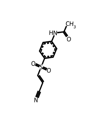 CC(=O)Nc1ccc(S(=O)(=O)C=CC#N)cc1